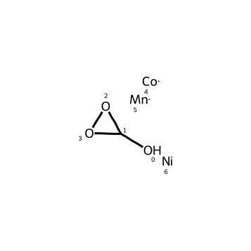 OC1OO1.[Co].[Mn].[Ni]